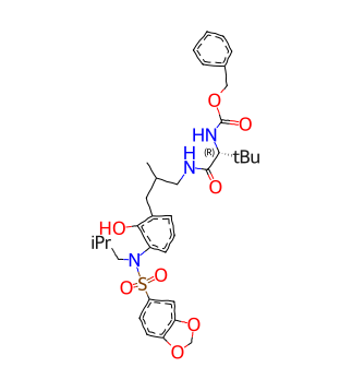 CC(C)CN(c1cccc(CC(C)CNC(=O)[C@H](NC(=O)OCc2ccccc2)C(C)(C)C)c1O)S(=O)(=O)c1ccc2c(c1)OCO2